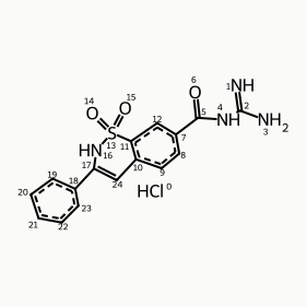 Cl.N=C(N)NC(=O)c1ccc2c(c1)S(=O)(=O)NC(c1ccccc1)=C2